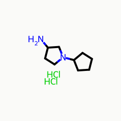 Cl.Cl.NC1CCN(C2CCCC2)C1